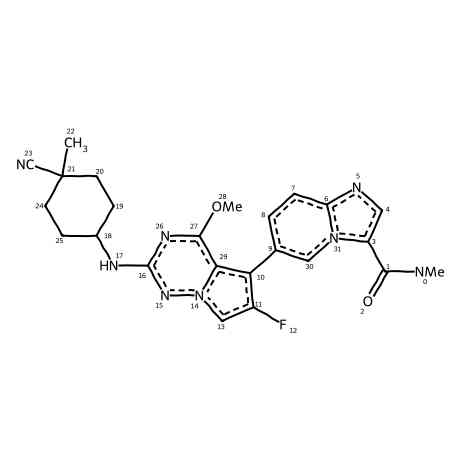 CNC(=O)c1cnc2ccc(-c3c(F)cn4nc(NC5CCC(C)(C#N)CC5)nc(OC)c34)cn12